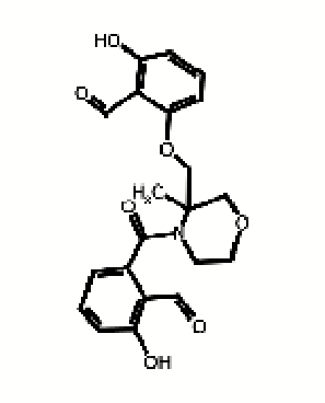 CC1(COc2cccc(O)c2C=O)COCCN1C(=O)c1cccc(O)c1C=O